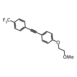 COCCOc1ccc(C#Cc2ccc(C(F)(F)F)cc2)cc1